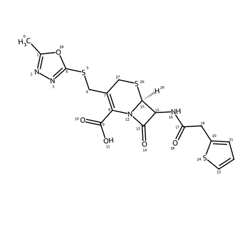 Cc1nnc(SCC2=C(C(=O)O)N3C(=O)C(NC(=O)Cc4cccs4)[C@@H]3SC2)o1